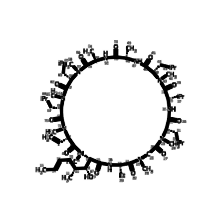 C=C[C@H]1C(=O)N(C)[C@@H]([C@H](O)[C@H](C)C/C=C/C)C(=O)N[C@@H](CC)C(=O)N(C)CC(=O)N(C)[C@@H](CC(C)C)C(=O)N[C@@H](C(C)C)C(=O)N(C)[C@@H](CC(C)C)C(=O)N[C@@H](C)C(=O)N[C@H](C)C(=O)N(C)[C@@H](CC(C)C)C(=O)N(C)[C@@H](CC(C)C)C(=O)N1C